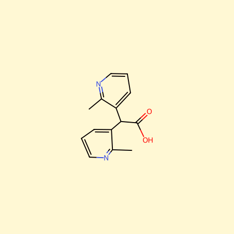 Cc1ncccc1C(C(=O)O)c1cccnc1C